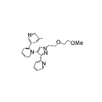 COCCOCCn1cc(N2CC=CC=C2c2cncc(C)c2)c(-c2ccccn2)n1